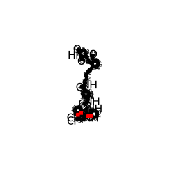 O=C1CCC(N2Cc3c(C#CCCCNC(=O)c4ccc(NC(=O)[C@@H]5NC6(CCCCC6)[C@@]6(C(=O)Nc7cc(Cl)ccc76)[C@H]5c5cccc(Cl)c5F)nc4)cccc3C2=O)C(=O)N1